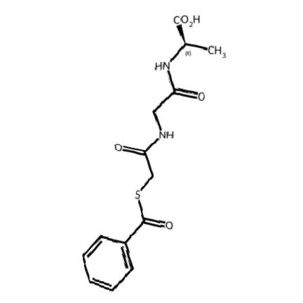 C[C@@H](NC(=O)CNC(=O)CSC(=O)c1ccccc1)C(=O)O